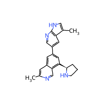 Cc1cc2cc(-c3cnc4[nH]cc(C)c4c3)cc([C@H]3CCCN3)c2cn1